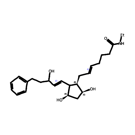 CCNC(=O)CCC/C=C/C[C@@H]1C(/C=C/C(O)CCc2ccccc2)[C@H](O)C[C@@H]1O